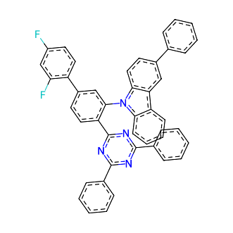 Fc1ccc(-c2ccc(-c3nc(-c4ccccc4)nc(-c4ccccc4)n3)c(-n3c4ccccc4c4cc(-c5ccccc5)ccc43)c2)c(F)c1